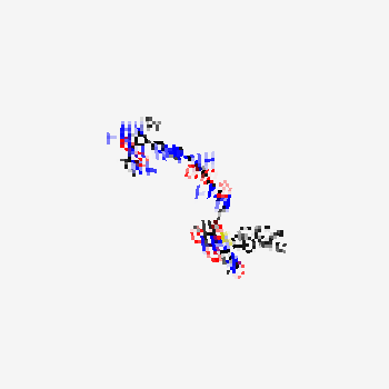 CCCOc1cc(OCCCCN(C)CC(=O)NCCOCCC(=O)NCCN2CCN(c3ccc(-c4cc(NC(C)C)c(C=N)c(C(=O)NCc5c(C)cc(C)[nH]c5=O)c4)cn3)CC2)cc(Oc2cc3c(cc2NSc2ccc(OC)c(OC)c2)n(C)c(=O)n3C)c1